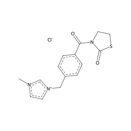 Cn1cc[n+](Cc2ccc(C(=O)N3CCSC3=O)cc2)c1.[Cl-]